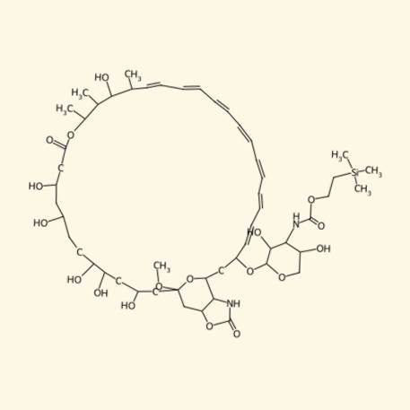 COC12CC(O)CC(O)C(O)CCC(O)CC(O)CC(=O)OC(C)C(C)C(O)C(C)/C=C/C=C/C=C/C=C/C=C/C=C/C=C/C(OC3OCC(O)C(NC(=O)OCC[Si](C)(C)C)C3O)CC(O1)C1NC(=O)OC1C2